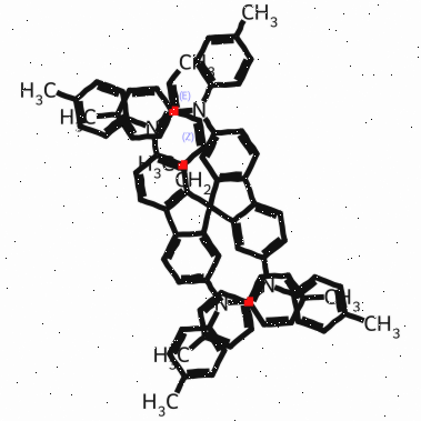 C=C(C)/C=C\C(=C/C)N(c1ccc(C)cc1)c1ccc2c(c1)C1(c3cc(N(c4ccc(C)cc4)c4ccc(C)cc4)ccc3-2)c2cc(N(c3ccc(C)cc3)c3ccc(C)cc3)ccc2-c2ccc(N(c3ccc(C)cc3)c3ccc(C)cc3)cc21